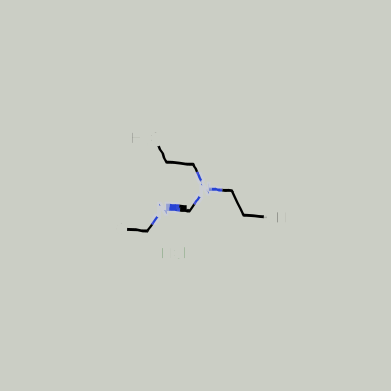 CCCN(C=NCC)CCC.Cl